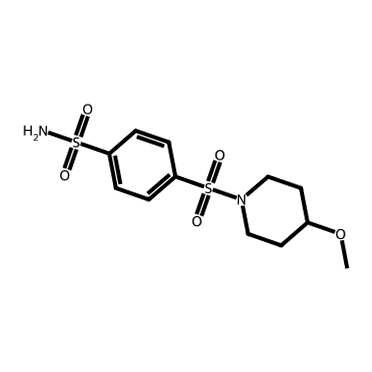 COC1CCN(S(=O)(=O)c2ccc(S(N)(=O)=O)cc2)CC1